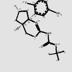 C[C@H]1C[C@@H]2CSC(NC(=O)OC(C)(C)C)=N[C@]2(c2cc(N)ccc2F)C1